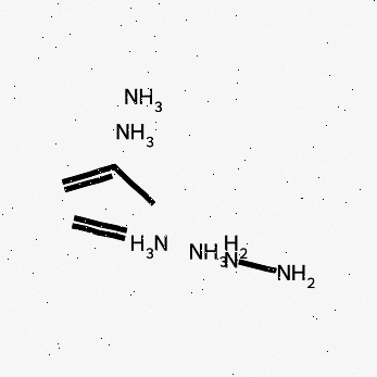 C=C.C=CC.N.N.N.N.NN